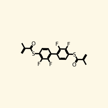 C=C(C)C(=O)Sc1ccc(-c2ccc(SC(=O)C(=C)C)c(F)c2F)c(F)c1F